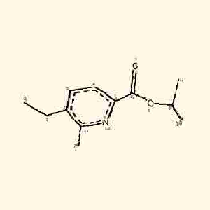 CCc1ccc(C(=O)OC(C)C)nc1C